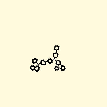 C1=CC(N(c2ccc(-c3ccc(N(c4ccccc4)c4cccc5ccccc45)cc3)cc2)c2ccc3c(c2)C2(CCCC2)c2ccccc2-3)CC=C1c1ccccc1